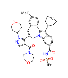 COc1ccc2c(c1)C=C(c1c(C(=O)N3CCOCC3)cnn1C1CCOCC1)Cn1c-2c(C2CCCCC2)c2ccc(C(=O)NS(=O)(=O)C(C)C)cc21